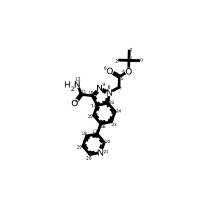 CC(C)(C)OC(=O)Cn1nc(C(N)=O)c2cc(-c3cccnc3)ccc21